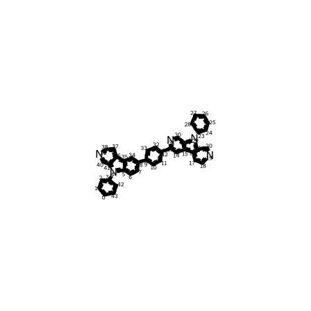 c1ccc(-n2c3ccc(-c4ccc(-c5cc6c7ccncc7n(-c7ccccc7)c6cn5)cc4)cc3c3ccncc32)cc1